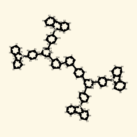 c1cc(-c2ccc(-c3cc(-c4ccc(-n5c6ccccc6c6ccccc65)cc4)nc(-c4ccc(-n5c6ccccc6c6ccccc65)cc4)n3)cc2)cc(-c2cccc(-c3cc(-c4ccc(-n5c6ccccc6c6ccccc65)cc4)nc(-c4ccc(-n5c6ccccc6c6ccccc65)cc4)n3)c2)c1